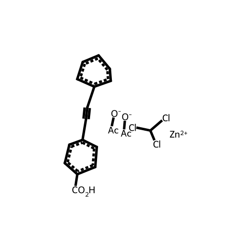 CC(=O)[O-].CC(=O)[O-].ClC(Cl)Cl.O=C(O)c1ccc(C#Cc2ccccc2)cc1.[Zn+2]